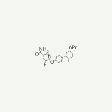 CCCC1CCC(C)C(c2ccc(Oc3ncc(C(N)=O)cc3F)cc2)C1